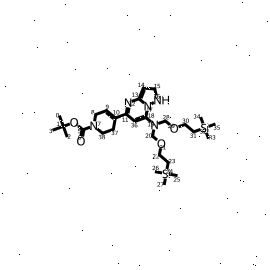 CC(C)(C)OC(=O)N1CC=C(C2=NC3=CCNN3C(N(COCC[Si](C)(C)C)COCC[Si](C)(C)C)=C2)CC1